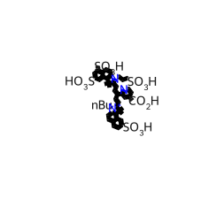 CCCC[N+]1=C(/C=C/C(=C/C=C2/N(CCCS(=O)(=O)O)c3ccc4c(S(=O)(=O)O)cc(S(=O)(=O)O)cc4c3C2(C)C)c2cc(C(=O)O)ccn2)C(C)(C)c2c1ccc1ccc(S(=O)(=O)O)cc21